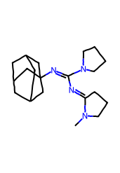 CN1CCCC1=NC(=NC12CC3CC(CC(C3)C1)C2)N1CCCC1